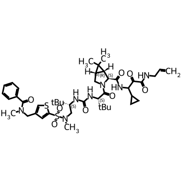 C=CCNC(=O)C(=O)C(NC(=O)[C@@H]1[C@@H]2[C@H](CN1C(=O)[C@@H](NC(=O)N[C@H](CN(C)S(=O)(=O)c1cc(CN(C)C(=O)c3ccccc3)cs1)C(C)(C)C)C(C)(C)C)C2(C)C)C1CC1